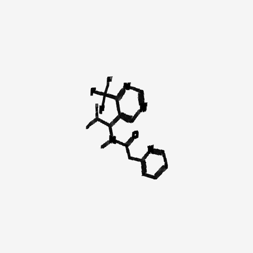 CC(C)C(c1cncnc1C(F)(F)F)N(C)C(=O)Cc1ccccn1